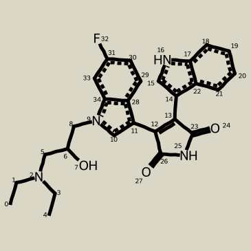 CCN(CC)CC(O)Cn1cc(C2=C(c3c[nH]c4ccccc34)C(=O)NC2=O)c2ccc(F)cc21